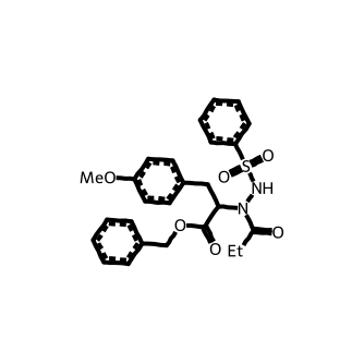 CCC(=O)N(NS(=O)(=O)c1ccccc1)C(Cc1ccc(OC)cc1)C(=O)OCc1ccccc1